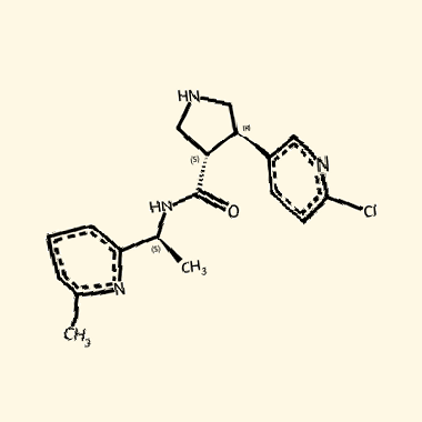 Cc1cccc([C@H](C)NC(=O)[C@@H]2CNC[C@H]2c2ccc(Cl)nc2)n1